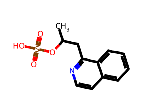 CC(Cc1nccc2ccccc12)OS(=O)(=O)O